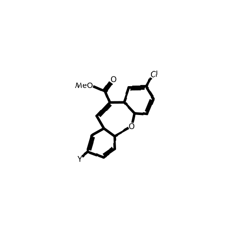 COC(=O)C1=CC2C=[C]([Y])C=CC2OC2C=CC(Cl)=CC12